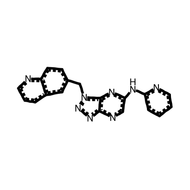 c1ccc(Nc2cnc3nnn(Cc4ccc5ncccc5c4)c3n2)nc1